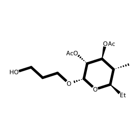 CC[C@H]1O[C@H](OCCCO)[C@H](OC(C)=O)[C@@H](OC(C)=O)[C@@H]1C